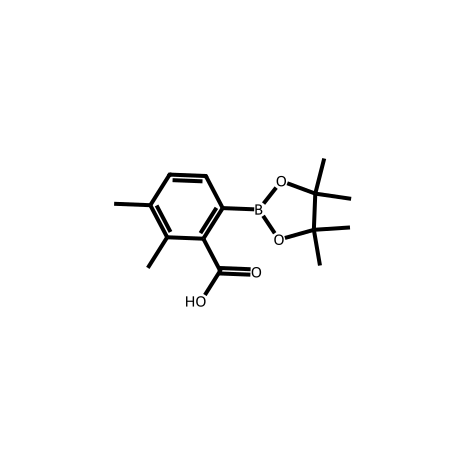 Cc1ccc(B2OC(C)(C)C(C)(C)O2)c(C(=O)O)c1C